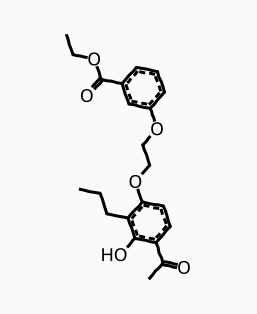 CCCc1c(OCCOc2cccc(C(=O)OCC)c2)ccc(C(C)=O)c1O